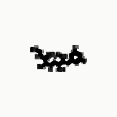 CC[C@H](NC[C@@H](O)[C@H](Cc1cc(F)cc(F)c1)NC(=O)O)C(=O)NCC(C)C